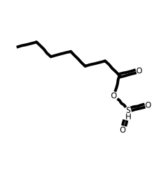 CCCCCCC(=O)O[SH](=O)=O